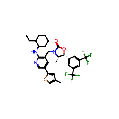 CCC1CCCCC1Nc1ncc(-c2cc(C)cs2)cc1CN1C(=O)O[C@H](c2cc(C(F)(F)F)cc(C(F)(F)F)c2)[C@@H]1C